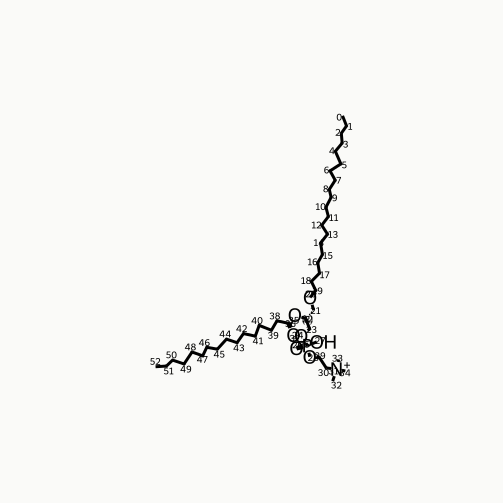 CCCCCCCCCCCCCCCCCCCCOC[C@H](COP(=O)(O)OCC[N+](C)(C)C)OC(=O)CCCCCCCCCCCCCCC